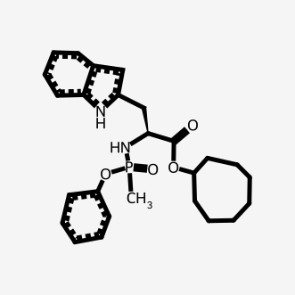 CP(=O)(N[C@@H](Cc1cc2ccccc2[nH]1)C(=O)OC1CCCCCCC1)Oc1ccccc1